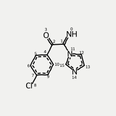 N=C(C(=O)c1ccc(Cl)cc1)n1ccnc1